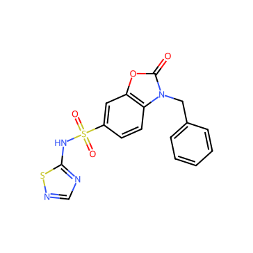 O=c1oc2cc(S(=O)(=O)Nc3ncns3)ccc2n1Cc1ccccc1